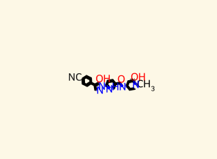 CN1CCC(NC(=O)c2ccc(-n3ncc(-c4ccc(C#N)cc4)c3O)nc2)C[C@H]1O